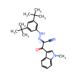 Cn1cc(C(=O)/C(C#N)=N/Nc2cc(C(C)(C)C)cc(C(C)(C)C)c2)c2ccccc21